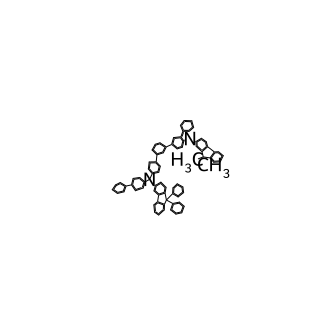 CC1(C)c2ccccc2-c2ccc(-n3c4ccccc4c4cc(-c5cccc(-c6ccc(N(c7ccc(-c8ccccc8)cc7)c7ccc8c(c7)-c7ccccc7C8(c7ccccc7)c7ccccc7)cc6)c5)ccc43)cc21